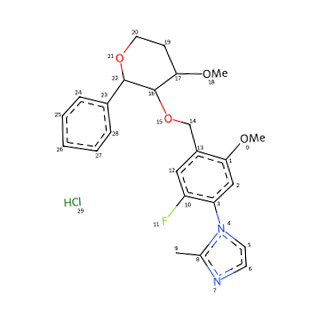 COc1cc(-n2ccnc2C)c(F)cc1COC1C(OC)CCOC1c1ccccc1.Cl